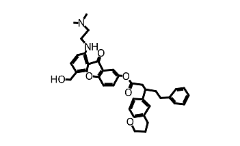 CN(C)CCNc1ccc(CO)c2oc3ccc(OC(=O)CC(CCc4ccccc4)c4ccc5c(c4)CCCO5)cc3c(=O)c12